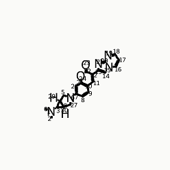 CN(C)[C@H]1[C@@H]2CN(c3ccc4cc(-c5cn6cccnc6n5)c(=O)oc4c3)C[C@@H]21